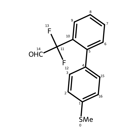 CSc1ccc(-c2ccccc2C(F)(F)C=O)cc1